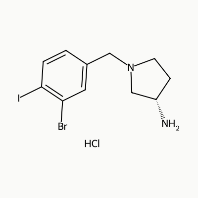 Cl.N[C@H]1CCN(Cc2ccc(I)c(Br)c2)C1